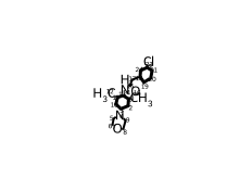 Cc1cc(N2CCOCC2)cc(C)c1NC(=O)Cc1cccc(Cl)c1